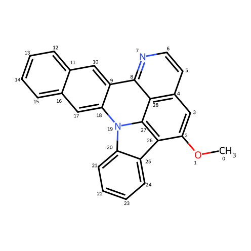 COc1cc2ccnc3c4cc5ccccc5cc4n4c5ccccc5c1c4c23